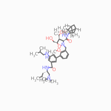 COc1c(CN2O[C@@H](CO)[C@@H]([C@H](C)O)[C@H]2C(=O)N[C@H]2C[C@H]3C[C@@H]([C@@H]2C)C3(C)C)cccc1-c1cc(NCC(C)C)cc(C(=O)N[C@@H](CC(C)C)CN(C)C)c1